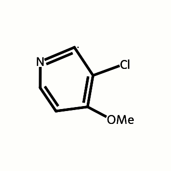 COc1ccn[c]c1Cl